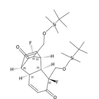 CC(C)(C)[Si](C)(C)OC[C@]1(F)C(=O)C=C[C@@H]2[C@H]1[C@@H]1C=C[C@H]2C(=O)[C@@]1(F)CO[Si](C)(C)C(C)(C)C